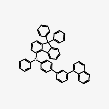 c1ccc(N(c2ccc(-c3cccc(-c4cccc5ccccc45)c3)cc2)c2cccc3c2-c2ccccc2C3(c2ccccc2)c2ccccc2)cc1